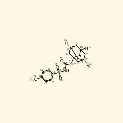 O=C(N[C@@]12C[C@@H]3C[C@@H](C[C@@](O)(C3)C1)C2)NS(=O)(=O)c1ccc(C(F)(F)F)cc1